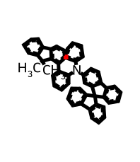 CC1(C)c2ccccc2-c2cccc(-c3ccccc3N(c3ccccc3)c3ccc4c(c3)C3(c5ccccc5-c5ccccc53)c3ccccc3-4)c21